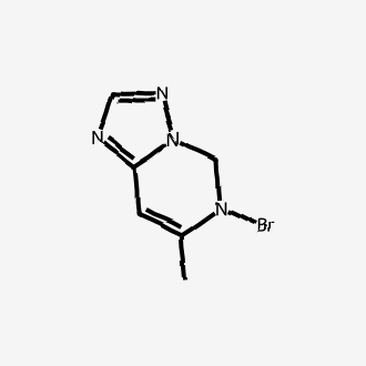 CC1=Cc2ncnn2CN1Br